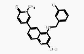 Cn1cc(-c2ccc3nc(C=O)cc(NCc4cccc(Cl)c4)c3c2)ccc1=O